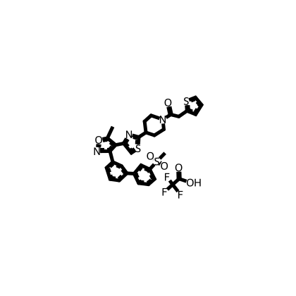 Cc1onc(-c2cccc(-c3cccc(S(C)(=O)=O)c3)c2)c1-c1csc(C2CCN(C(=O)Cc3cccs3)CC2)n1.O=C(O)C(F)(F)F